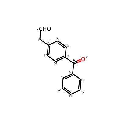 O=CCc1ccc(C(=O)c2ccccc2)cc1